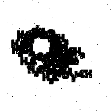 C#CCCOC(=O)N(C)[C@H]1C[C@@H](C)O[C@@H](O/C2=C(\O)C[C@@H](C)CN(C)[C@H](C)[C@@H](O)[C@](C)(O)[C@@H](I)OC(=O)[C@H](C)[C@@H](O[C@H]3C[C@@](C)(OC)[C@@H](O)[C@H](C)O3)C2C)[C@@H]1O